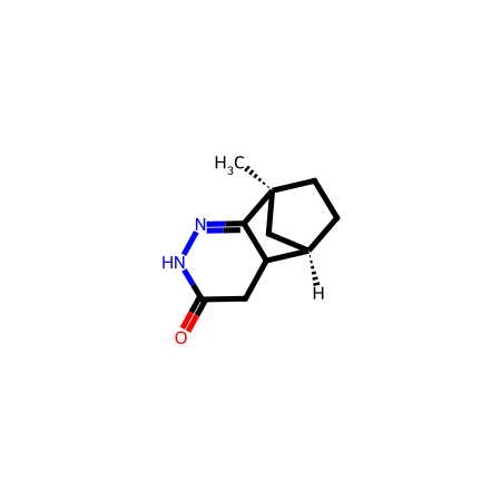 C[C@]12CC[C@H](C1)C1CC(=O)NN=C12